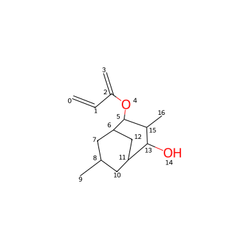 C=CC(=C)OC1C2CC(C)CC(C2)C(O)C1C